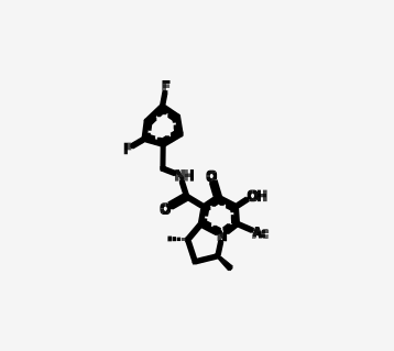 CC(=O)c1c(O)c(=O)c(C(=O)NCc2ccc(F)cc2F)c2n1[C@@H](C)C[C@@H]2C